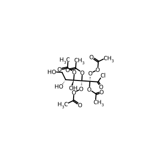 CC(=O)OO[C@@](OC(C)=O)(C(=O)Cl)[C@](OOC(C)=O)(OC(C)=O)[C@@](O)(OC(C)=O)[C@H](O)CO